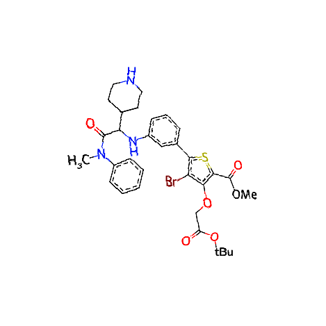 COC(=O)c1sc(-c2cccc(NC(C(=O)N(C)c3ccccc3)C3CCNCC3)c2)c(Br)c1OCC(=O)OC(C)(C)C